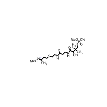 CO/N=C(\C)CCSCCNC(=O)CCNC(=O)C(O)C(C)(C)COP(=O)(O)OC